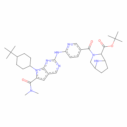 CN(C)C(=O)c1cc2cnc(Nc3ccc(C(=O)N4CC5CCC(N5)C4C(=O)OC(C)(C)C)cn3)nc2n1C1CCC(C(C)(C)C)CC1